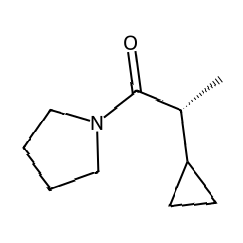 C[C@@H](C(=O)N1CCCC1)C1CC1